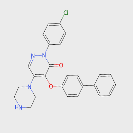 O=c1c(Oc2ccc(-c3ccccc3)cc2)c(N2CCNCC2)cnn1-c1ccc(Cl)cc1